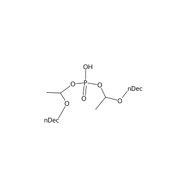 CCCCCCCCCCOC(C)OP(=O)(O)OC(C)OCCCCCCCCCC